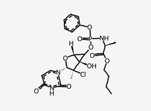 CCCCOC(=O)[C@H](C)NP(=O)(Oc1ccccc1)OC1[C@H]2O[C@@H](n3ccc(=O)[nH]c3=O)[C@](C)(Cl)[C@@]12O